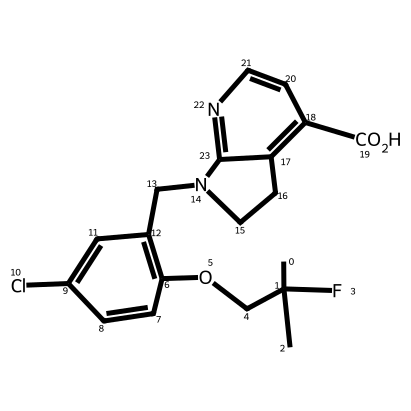 CC(C)(F)COc1ccc(Cl)cc1CN1CCc2c(C(=O)O)ccnc21